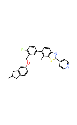 Cc1c(-c2ccc(F)c(COc3ccc4c(c3)CC(C)C4)c2)ccc2nc(-c3ccncc3)sc12